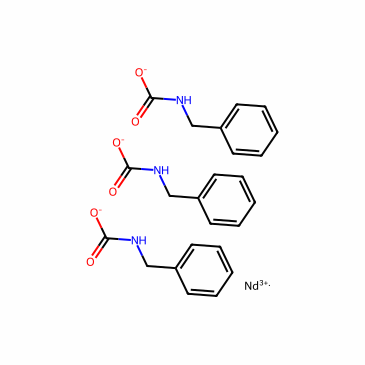 O=C([O-])NCc1ccccc1.O=C([O-])NCc1ccccc1.O=C([O-])NCc1ccccc1.[Nd+3]